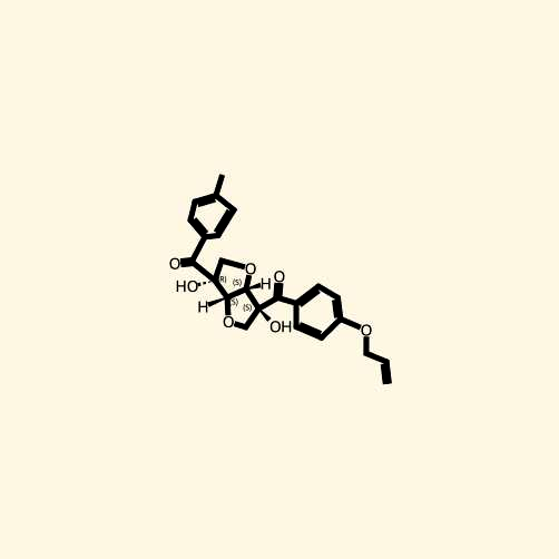 C=CCOc1ccc(C(=O)[C@]2(O)CO[C@H]3[C@@H]2OC[C@]3(O)C(=O)c2ccc(C)cc2)cc1